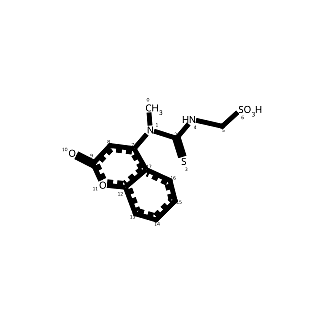 CN(C(=S)NCS(=O)(=O)O)c1cc(=O)oc2ccccc12